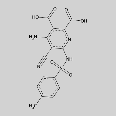 Cc1ccc(S(=O)(=O)Nc2nc(C(=O)O)c(C(=O)O)c(N)c2C#N)cc1